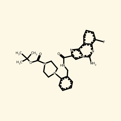 CC(C)(C)OC(=O)N1CCN(c2ccccc2CNC(=O)c2cn3c(N)nc4c(F)cccc4c3n2)CC1